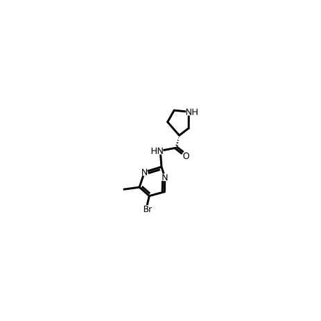 Cc1nc(NC(=O)[C@@H]2CCNC2)ncc1Br